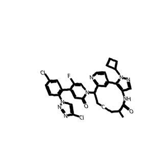 CC1CCCC(n2cc(F)c(-c3cc(Cl)ccc3-n3cc(Cl)nn3)cc2=O)c2cc(ccn2)-c2c(cnn2C2CCC2)NC1=O